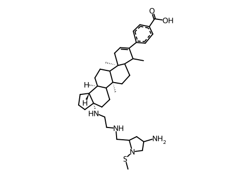 CSN1CC(N)CC1CNCCN[C@]12CCC[C@@H]1[C@H]1CCC3[C@@]4(C)CC=C(c5ccc(C(=O)O)cc5)C(C)C4CC[C@@]3(C)C1CC2